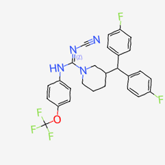 N#C/N=C(/Nc1ccc(OC(F)(F)F)cc1)N1CCCC(C(c2ccc(F)cc2)c2ccc(F)cc2)C1